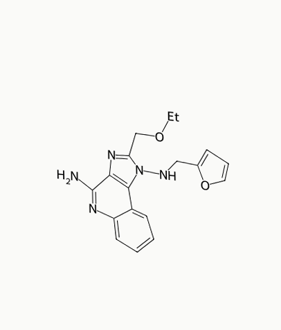 CCOCc1nc2c(N)nc3ccccc3c2n1NCc1ccco1